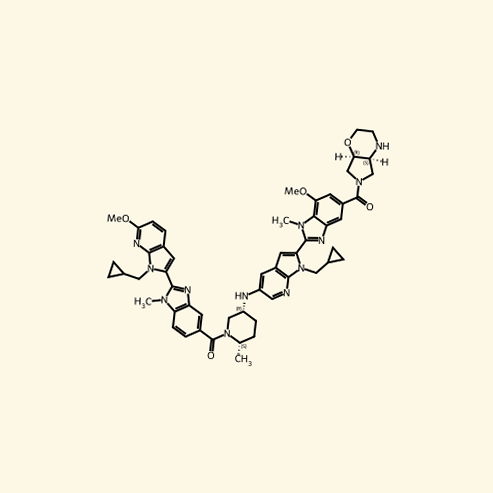 COc1ccc2cc(-c3nc4cc(C(=O)N5C[C@H](Nc6cnc7c(c6)cc(-c6nc8cc(C(=O)N9C[C@@H]%10NCCO[C@@H]%10C9)cc(OC)c8n6C)n7CC6CC6)CC[C@@H]5C)ccc4n3C)n(CC3CC3)c2n1